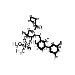 CN(C)S(=O)(=O)N[C@@H]1[C@H](Cc2cccc(-c3cc(F)cc(F)c3)c2F)N(C(=O)N2CCC2)CC1(F)F